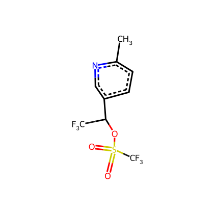 Cc1ccc(C(OS(=O)(=O)C(F)(F)F)C(F)(F)F)cn1